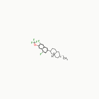 CC[C@@H]1CC[C@@H]2CC(c3cc(F)c4cc(OC(F)(F)F)c(F)cc4c3)CCC2C1